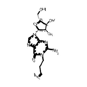 CC(=O)CCCn1c(N)nc2c(ncn2[C@@H]2O[C@H](CO)[C@@H](O)[C@H]2O)c1=O